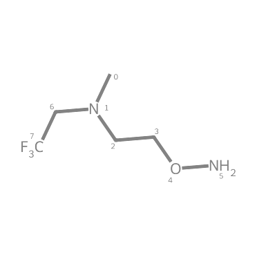 CN(CCON)CC(F)(F)F